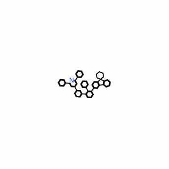 c1ccc(-c2cc(-c3cccc(-c4cccc(-c5ccc6c(c5)-c5ccccc5C65CCCCC5)c4-c4ccccc4)c3)cc(-c3ccccc3)n2)cc1